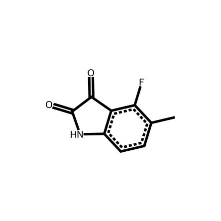 Cc1ccc2c(c1F)C(=O)C(=O)N2